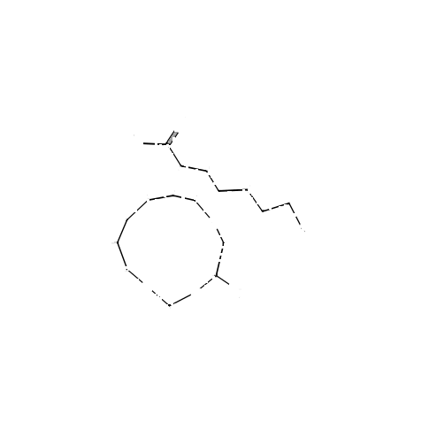 NCCCCCCC(=O)O.OC1CCCCCCCCCCC1